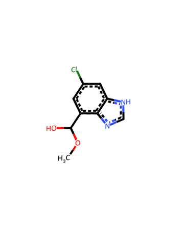 COC(O)c1cc(Cl)cc2[nH]cnc12